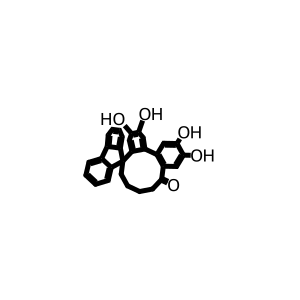 O=C1CCCCC2(c3cc(O)c(O)cc3-c3cc(O)c(O)cc31)c1ccccc1-c1ccccc12